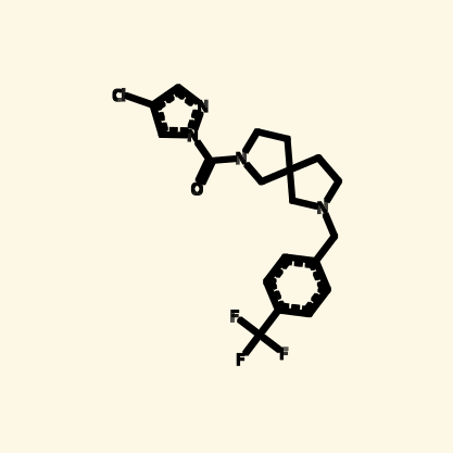 O=C(N1CCC2(CCN(Cc3ccc(C(F)(F)F)cc3)C2)C1)n1cc(Cl)cn1